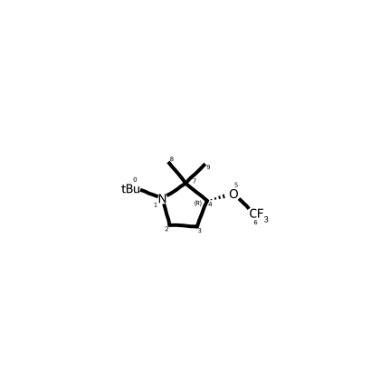 CC(C)(C)N1CC[C@@H](OC(F)(F)F)C1(C)C